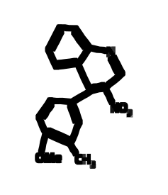 COc1ccc(-c2c([N+](=O)[O-])cnc3ccccc23)cc1C